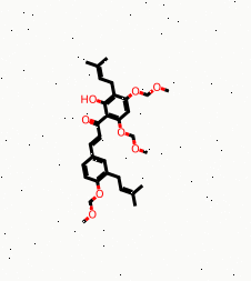 COCOc1ccc(C=CC(=O)c2c(OCOC)cc(OCOC)c(CC=C(C)C)c2O)cc1CC=C(C)C